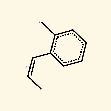 [CH2]c1ccccc1/C=C\C